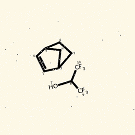 C1=CC2CCC1C2.OC(C(F)(F)F)C(F)(F)F